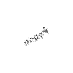 CC(=O)NC[C@H]1CN(c2ccc(-c3ccc(N4CCOCC4)nc3)c(F)c2)C(=O)O1